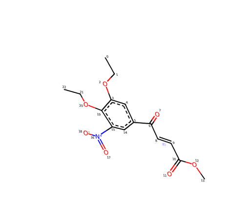 CCOc1cc(C(=O)/C=C/C(=O)OC)cc([N+](=O)[O-])c1OCC